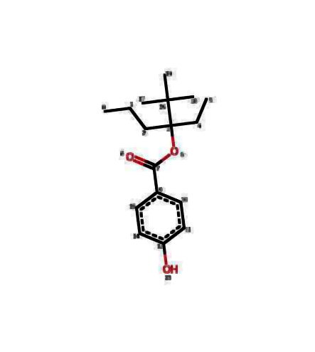 CCCC(CC)(OC(=O)c1ccc(O)cc1)C(C)(C)C